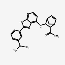 CN(C)c1cccc(-c2nc3c(NC4C5C=CC(C5)C4C(N)=O)ccnc3[nH]2)c1